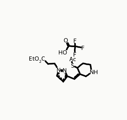 CCOC(=O)CCn1ccc(C=C2CNCCC2SC(C)=O)n1.O=C(O)C(F)(F)F